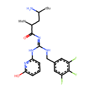 CNC(CC(N)C(C)(C)C)C(=O)/N=C(/NCc1cc(F)c(F)c(F)c1)Nc1cccc(O)n1